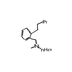 CCCCCCN(C)Cc1c[c]ccc1CCC(C)C